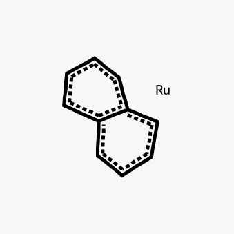 [Ru].c1ccc2ccccc2c1